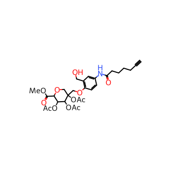 C#CCCCCC(=O)Nc1ccc(OCC2(OC(C)=O)COC(C(=O)OC)C(OC(C)=O)C2OC(C)=O)c(CO)c1